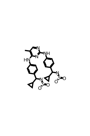 Cc1cnc(Nc2ccc(C(N=S(=O)=O)C3CC3)cc2)nc1Nc1ccc(C(N=S(=O)=O)C2CC2)cc1